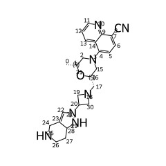 C[C@@H]1CN(c2ccc(C#N)c3ncccc23)C[C@H](CN2CC(N3C=C4CNCCC4N3)C2)O1